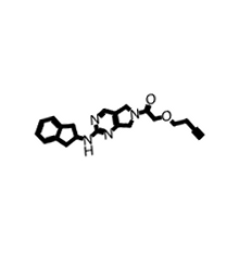 C#CCCOCC(=O)N1Cc2cnc(NC3Cc4ccccc4C3)nc2C1